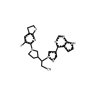 N#CCC(C1CCN(c2nc3c(cc2F)CCS3)C1)n1cc(-c2ncnc3[nH]ccc23)cn1